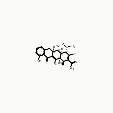 CC(=O)C1=C(O)[C@@H](N(C)C)[C@@H]2[C@@H](O)[C@@H]3Cc4cccc(O)c4C(=O)C3=C(O)[C@]2(O)C1=O